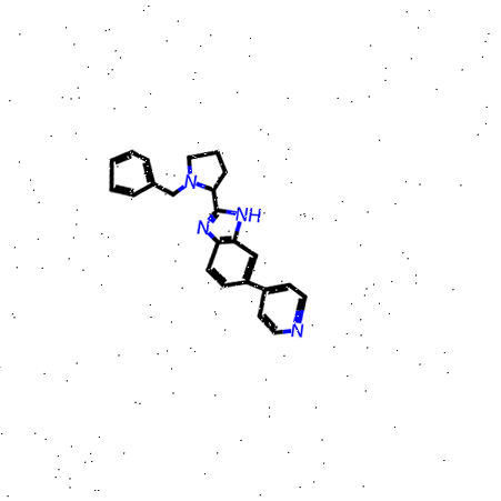 c1ccc(CN2CCCC2c2nc3ccc(-c4ccncc4)cc3[nH]2)cc1